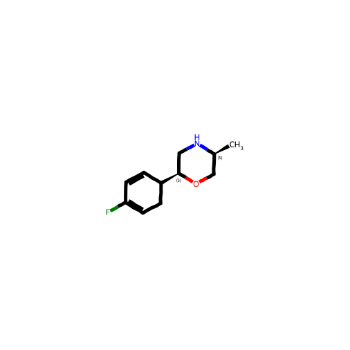 C[C@H]1CO[C@@H](C2C=CC(F)=CC2)CN1